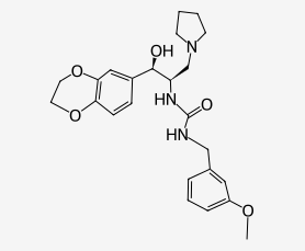 COc1cccc(CNC(=O)N[C@H](CN2CCCC2)[C@H](O)c2ccc3c(c2)OCCO3)c1